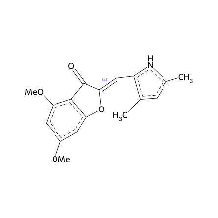 COc1cc(OC)c2c(c1)O/C(=C\c1[nH]c(C)cc1C)C2=O